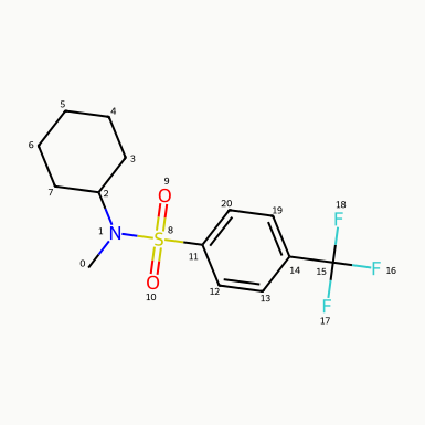 CN(C1CCCCC1)S(=O)(=O)c1ccc(C(F)(F)F)cc1